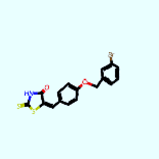 O=C1NC(=S)SC1=Cc1ccc(OCc2cccc(Br)c2)cc1